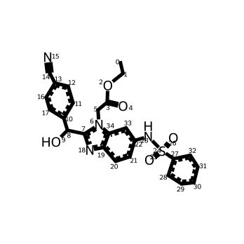 CCOC(=O)Cn1c(C(O)c2ccc(C#N)cc2)nc2ccc(NS(=O)(=O)c3ccccc3)cc21